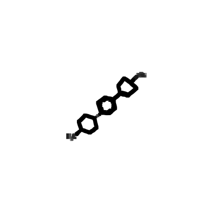 CCCCC1CC=C(c2ccc([C@H]3CC[C@H](C)CC3)cc2)CC1